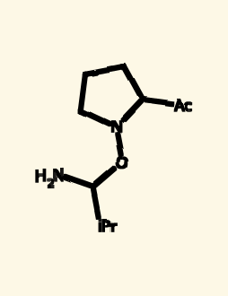 CC(=O)C1CCCN1OC(N)C(C)C